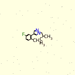 Cc1ccc(F)cc1-c1cnn(CC(C)C)c1